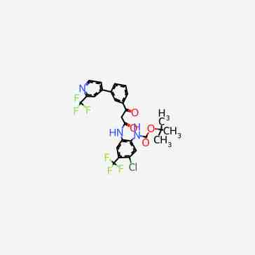 CC(C)(C)OC(=O)Nc1cc(Cl)c(C(F)(F)F)cc1NC(=O)CC(=O)c1cccc(-c2ccnc(C(F)(F)F)c2)c1